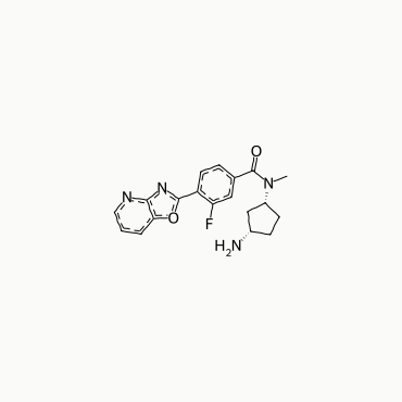 CN(C(=O)c1ccc(-c2nc3ncccc3o2)c(F)c1)[C@@H]1CC[C@H](N)C1